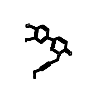 CCC#CCn1nc(-c2ccc(Cl)c(F)c2)ccc1=O